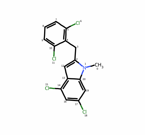 Cn1c(Cc2c(Cl)[c]ccc2Cl)cc2c(Cl)cc(Cl)cc21